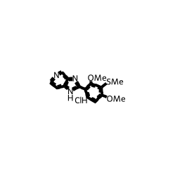 COc1ccc(-c2nc3cnccc3[nH]2)c(OC)c1SC.Cl